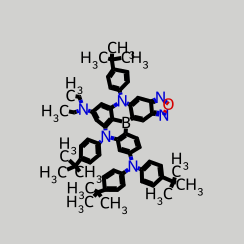 CCN(CC)c1cc2c3c(c1)N(c1ccc(C(C)(C)C)cc1)c1cc4nonc4cc1B3c1ccc(N(c3ccc(C(C)(C)C)cc3)c3ccc(C(C)(C)C)cc3)cc1N2c1ccc(C(C)(C)C)cc1